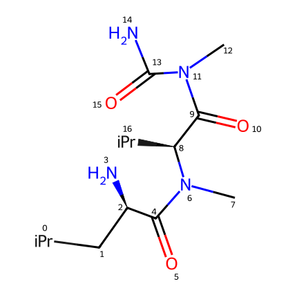 CC(C)C[C@@H](N)C(=O)N(C)[C@H](C(=O)N(C)C(N)=O)C(C)C